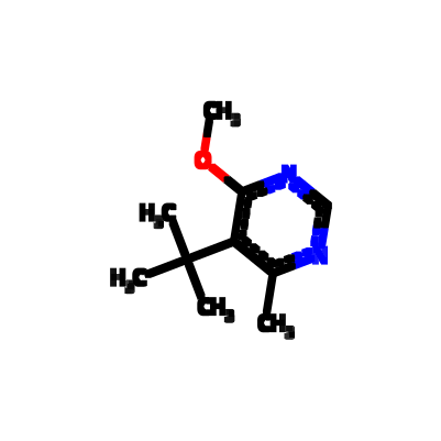 COc1ncnc(C)c1C(C)(C)C